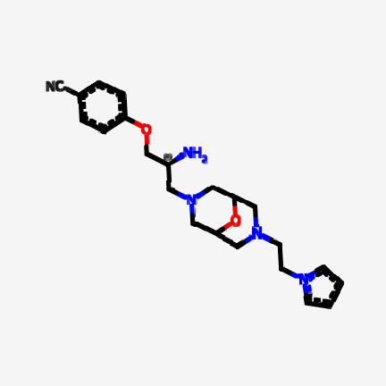 N#Cc1ccc(OC[C@@H](N)CN2CC3CN(CCn4cccc4)CC(C2)O3)cc1